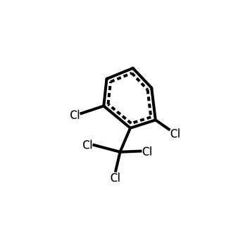 Clc1cccc(Cl)c1C(Cl)(Cl)Cl